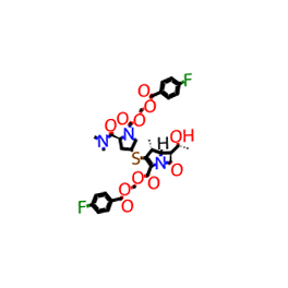 C[C@@H](O)[C@H]1C(=O)N2C(C(=O)OCOC(=O)c3ccc(F)cc3)=C(S[C@H]3C[C@@H](C(=O)N(C)C)N(C(=O)OCOC(=O)c4ccc(F)cc4)C3)[C@H](C)[C@H]12